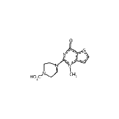 Cn1c(N2CCN(C(=O)O)CC2)nc(=O)c2sccc21